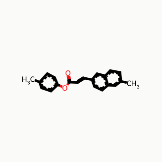 Cc1ccc(OC(=O)/C=C/c2ccc3cc(C)ccc3c2)cc1